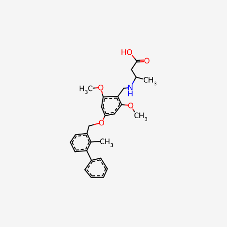 COc1cc(OCc2cccc(-c3ccccc3)c2C)cc(OC)c1CNC(C)CC(=O)O